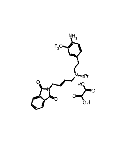 CCCN(CC=CCN1C(=O)c2ccccc2C1=O)CCc1ccc(N)c(C(F)(F)F)c1.O=C(O)C(=O)O